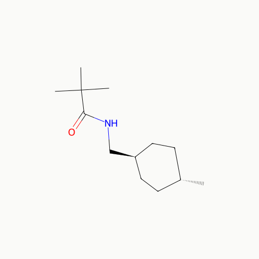 CC(C)(C)C(=O)NC[C@H]1CC[C@H](C)CC1